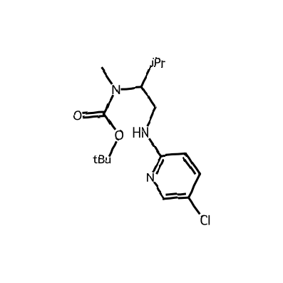 CC(C)C(CNc1ccc(Cl)cn1)N(C)C(=O)OC(C)(C)C